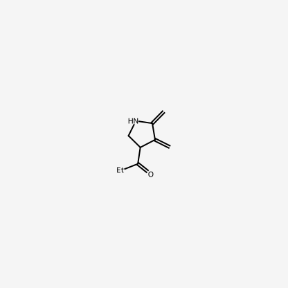 C=C1NCC(C(=O)CC)C1=C